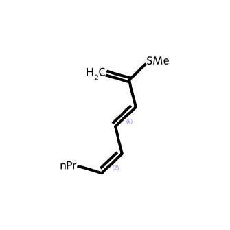 C=C(/C=C/C=C\CCC)SC